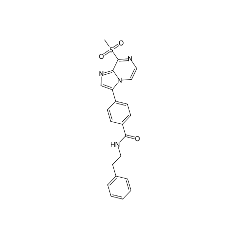 CS(=O)(=O)c1nccn2c(-c3ccc(C(=O)NCCc4ccccc4)cc3)cnc12